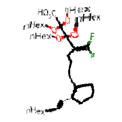 CCCCCCC=C[C@H]1CCC[C@@H]1CCCC(=C(F)F)C(OCCCCCC)(OCCCCCC)C(OCCCCCC)(OCCCCCC)C(=O)O